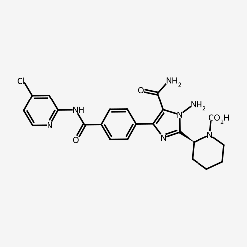 NC(=O)c1c(-c2ccc(C(=O)Nc3cc(Cl)ccn3)cc2)nc([C@@H]2CCCCN2C(=O)O)n1N